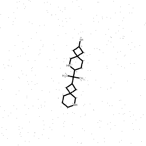 CC(C)(C1CC2(CCCNC2)C1)C1CCC2(CN1)CC(S)C2